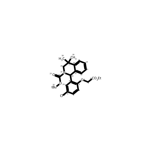 CCOC(=O)COc1ccc(Cl)cc1C1c2ccccc2C(C)(C)CN1C(=O)OC(C)(C)C